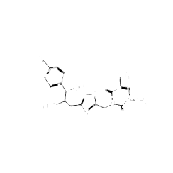 Cc1cn(C)c(=O)n(Cc2nc(CC(C)[C@H](O)c3ccc(Cl)cc3)no2)c1=O